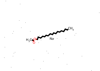 CCCCCCCCCCCCCCCCCCOC(C)=O.[Na]